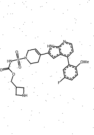 COc1ccc(F)cc1-c1ccnc2[nH]c(C3=CCN(S(=O)(=O)NC(=O)OCC4CNC4)CC3)cc12